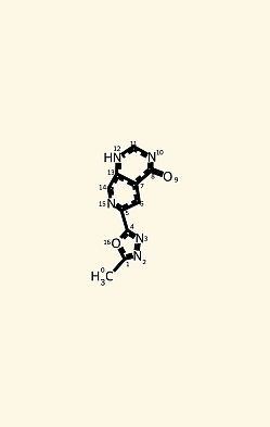 Cc1nnc(-c2cc3c(=O)nc[nH]c3cn2)o1